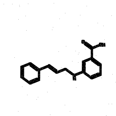 O=C(O)c1cccc(NCC=Cc2ccccc2)c1